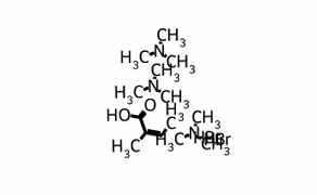 Br.Br.CC=C(C)C(=O)O.CN(C)C.CN(C)C.CN(C)C